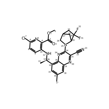 COC(=O)c1nc(Cl)ccc1N[C@H](C)c1cc(C)cc2nc(C#N)c(N3CC4CC3C(F)(F)C4)nc12